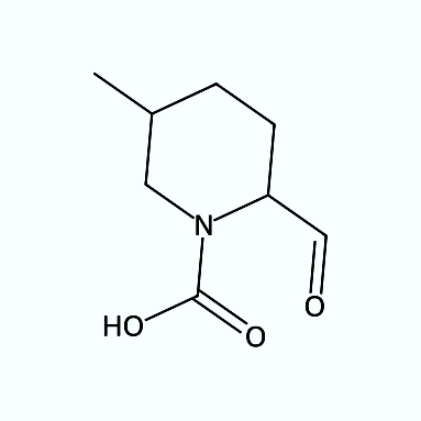 CC1CCC(C=O)N(C(=O)O)C1